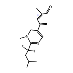 C=C(/C=C(/C)C=O)C1=CN=C(C(F)(F)CC(C)C)N(C)C1